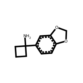 NC1(c2ccc3c(c2)OCO3)CCC1